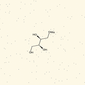 COC[C@H](O)[C@@H](O)CO